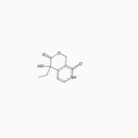 CCC1(O)C(=O)OCc2c1cc[nH]c2=O